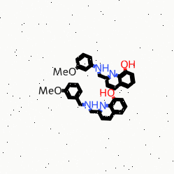 COc1cccc(CNCc2ccc3cccc(O)c3n2)c1.COc1cccc(NCc2ccc3cccc(O)c3n2)c1